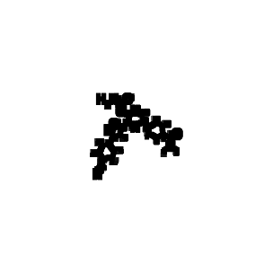 CN(C)C(=O)c1ccc(-c2cnc(OC(N)=O)c(-c3cc(-c4ccc(C#N)cc4)no3)n2)cc1